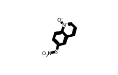 O=[N+]([O-])Sc1ccc2c(ccc[n+]2[O-])c1